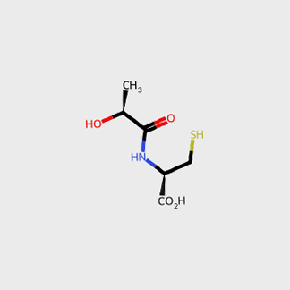 C[C@H](O)C(=O)N[C@@H](CS)C(=O)O